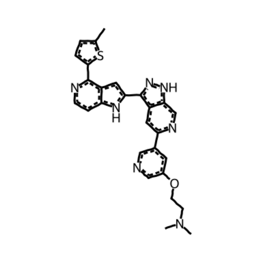 Cc1ccc(-c2nccc3[nH]c(-c4n[nH]c5cnc(-c6cncc(OCCN(C)C)c6)cc45)cc23)s1